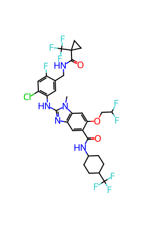 Cn1c(Nc2cc(CNC(=O)C3(C(F)(F)F)CC3)c(F)cc2Cl)nc2cc(C(=O)NC3CCC(C(F)(F)F)CC3)c(OCC(F)F)cc21